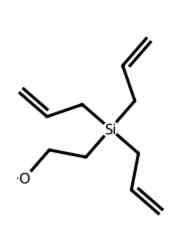 C=CC[Si](CC=C)(CC=C)CC[O]